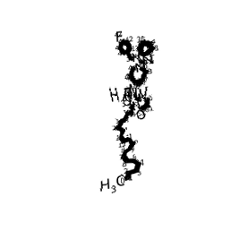 CCC/C=C\C/C=C\C/C=C\C/C=C\C/C=C\CCCC(=O)n1c(N(C)C2CCN(c3nc4ccccc4n3Cc3ccc(F)cc3)CC2)nccc1=O